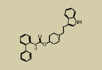 O=C(Nc1ccccc1-c1ccccc1)OC1CCN(CCc2c[nH]c3ccccc23)CC1